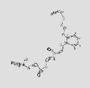 COCCOCc1ccccc1COC(=O)[CH]OCC(=O)OCCOC